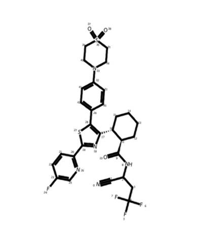 N#CC(CC(F)(F)F)NC(=O)[C@@H]1CCCC[C@H]1c1nc(-c2ccc(F)cn2)sc1-c1ccc(N2CCS(=O)(=O)CC2)cc1